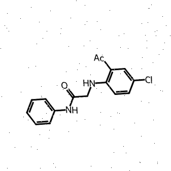 CC(=O)c1cc(Cl)ccc1NCC(=O)Nc1ccccc1